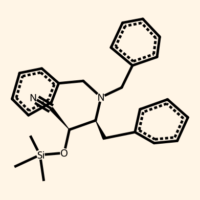 C[Si](C)(C)O[C@@H](C#N)[C@H](Cc1ccccc1)N(Cc1ccccc1)Cc1ccccc1